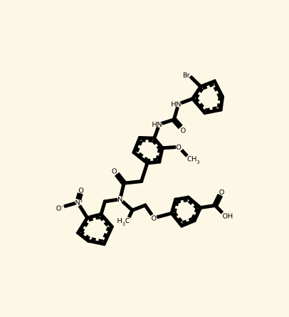 COc1cc(CC(=O)N(Cc2ccccc2[N+](=O)[O-])C(C)COc2ccc(C(=O)O)cc2)ccc1NC(=O)Nc1ccccc1Br